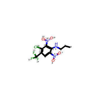 CCCNc1c([N+](=O)[O-])cc(C(F)(F)F)c(Cl)c1[N+](=O)[O-]